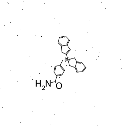 NC(=O)c1ccc(C[C@@]2(C3=Cc4ccccc4C3)[CH]c3ccccc3C2)cc1